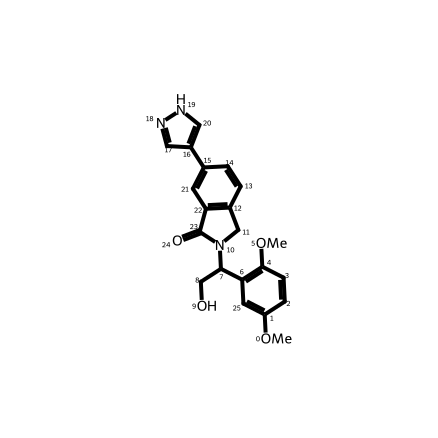 COc1ccc(OC)c(C(CO)N2Cc3ccc(-c4cn[nH]c4)cc3C2=O)c1